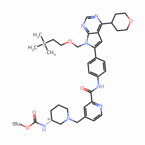 CC(C)(C)OC(=O)N[C@@H]1CCCN(Cc2ccnc(C(=O)Nc3ccc(-c4cc5c(C6CCOCC6)ncnc5n4COCC[Si](C)(C)C)cc3)c2)C1